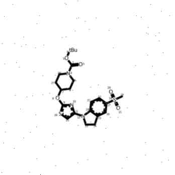 CC(C)(C)OC(=O)N1CCC(Oc2nc(N3CCc4cc(S(C)(=O)=O)ccc43)cs2)CC1